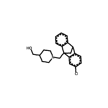 OCC1CCN(CC23CC(c4ccccc42)c2ccc(Cl)cc23)CC1